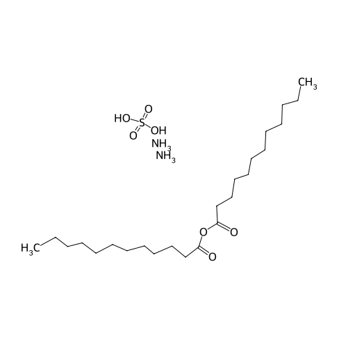 CCCCCCCCCCCC(=O)OC(=O)CCCCCCCCCCC.N.N.O=S(=O)(O)O